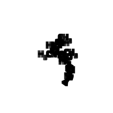 Cc1cc(Nc2cc(C)[nH]n2)nc(-c2cnc(C(=O)NCc3ccc(-n4ccc(C5CC5)n4)nc3)c(C)c2)n1